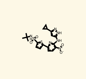 CC(C)(C)NS(=O)(=O)c1ccc(-c2ccc([N+](=O)[O-])c(Nc3cc(C4CC4)n[nH]3)n2)s1